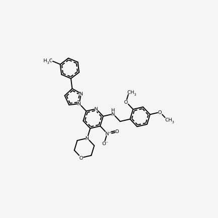 COc1ccc(CNc2nc(-n3ccc(-c4cccc(C)c4)n3)cc(N3CCOCC3)c2[N+](=O)[O-])c(OC)c1